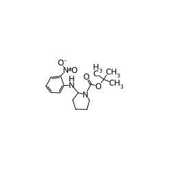 CC(C)(C)OC(=O)N1CCCCC1Nc1ccccc1[N+](=O)[O-]